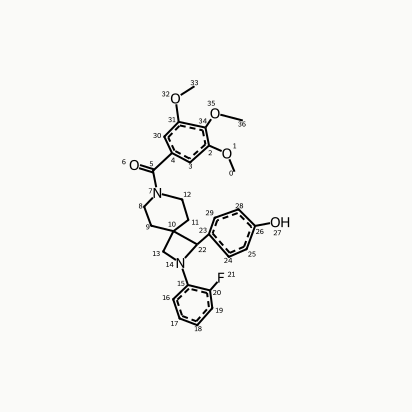 COc1cc(C(=O)N2CCC3(CC2)CN(c2ccccc2F)C3c2ccc(O)cc2)cc(OC)c1OC